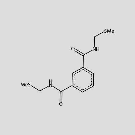 CSCNC(=O)c1cccc(C(=O)NCSC)c1